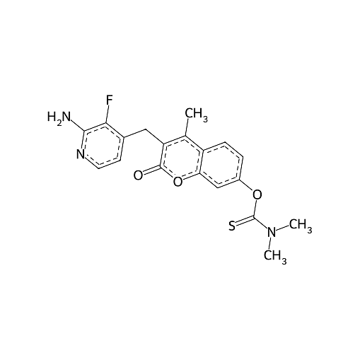 Cc1c(Cc2ccnc(N)c2F)c(=O)oc2cc(OC(=S)N(C)C)ccc12